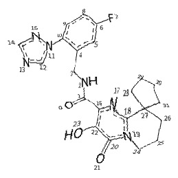 O=C(NCc1cc(F)ccc1-n1cncn1)c1nc2n(c(=O)c1O)CCCC21CCCC1